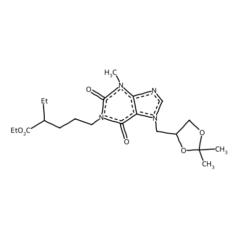 CCOC(=O)C(CC)CCCn1c(=O)c2c(ncn2CC2COC(C)(C)O2)n(C)c1=O